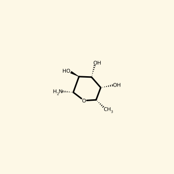 C[C@@H]1O[C@H](N)[C@@H](O)[C@H](O)[C@@H]1O